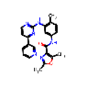 Cc1nc(C(=O)Nc2ccc(C)c(Nc3nccc(-c4cccnc4)n3)c2)c(C)o1